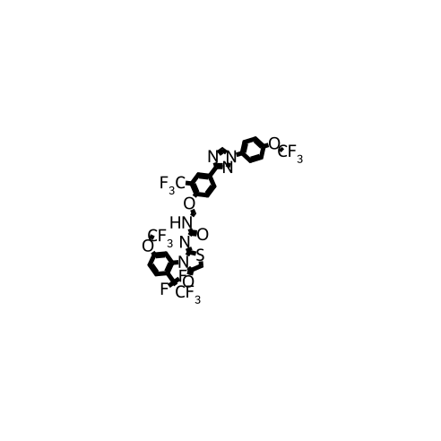 O=C(/N=C1\SCC(=O)N1c1cc(OC(F)(F)F)ccc1C(F)(F)C(F)(F)F)NCOc1ccc(-c2ncn(-c3ccc(OC(F)(F)F)cc3)n2)cc1C(F)(F)F